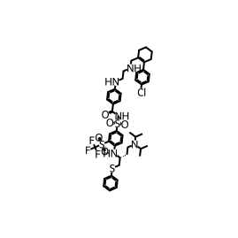 CC(C)N(CC[C@H](CSc1ccccc1)Nc1ccc(S(=O)(=O)NC(=O)c2ccc(NCCNCC3=C(c4ccc(Cl)cc4)CCCC3)cc2)cc1S(=O)(=O)C(F)(F)F)C(C)C